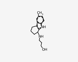 Cc1ccc2[nH]c3c(c2c1)CCCC3NCCCO